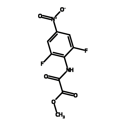 COC(=O)C(=O)Nc1c(F)cc([N+](=O)[O-])cc1F